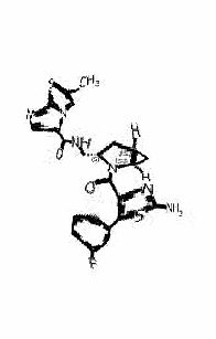 Cc1cn2c(C(=O)NC[C@@H]3C[C@@H]4C[C@@H]4N3C(=O)c3nc(N)sc3-c3cccc(F)c3)cnc2s1